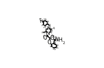 C[C@@H]1CN(C(=O)COc2ccccc2C(N)=O)[C@@H](C)CN1Cc1ccc(F)cc1